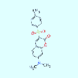 Cc1ccc(S(=O)(=O)c2cc3ccc(N(C)C)cc3oc2=O)cc1